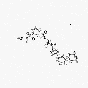 CC(CO)S(=O)(=O)c1cccc(C(=O)NCC(=O)Nc2nc(-c3cccc(-c4ccncc4)c3)cs2)c1